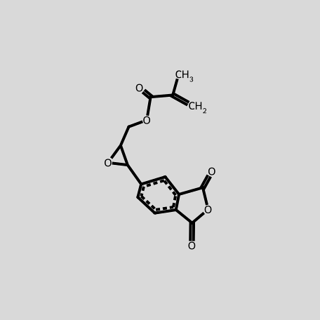 C=C(C)C(=O)OCC1OC1c1ccc2c(c1)C(=O)OC2=O